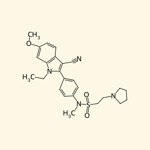 CCn1c(-c2ccc(N(C)S(=O)(=O)CCN3CCCC3)cc2)c(C#N)c2ccc(OC)cc21